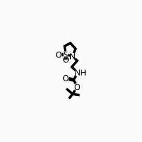 CC(C)(C)OC(=O)NCCN1CCCS1(=O)=O